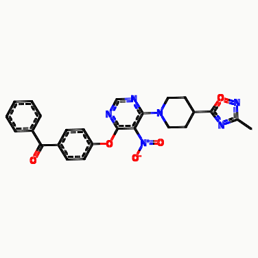 Cc1noc(C2CCN(c3ncnc(Oc4ccc(C(=O)c5ccccc5)cc4)c3[N+](=O)[O-])CC2)n1